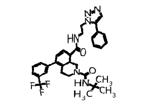 CC(C)(C)NC(=O)N1CCC2=C(c3cccc(C(F)(F)F)c3)C=CC(C(=O)NCCn3nncc3-c3ccccc3)C2C1